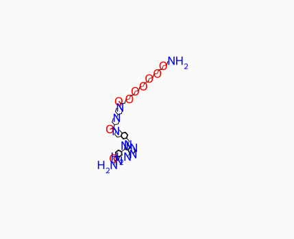 NCCOCCOCCOCCOCCOCCOCCC(=O)N1CCC(N2CCC(C(=O)N3CCc4cc(Cn5nc(-c6ccc7oc(N)nc7c6)c6c(N)ncnc65)ccc4C3)CC2)CC1